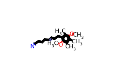 COc1c(C)c(C)c(OC)c(CC/C=C/CCCC#N)c1C